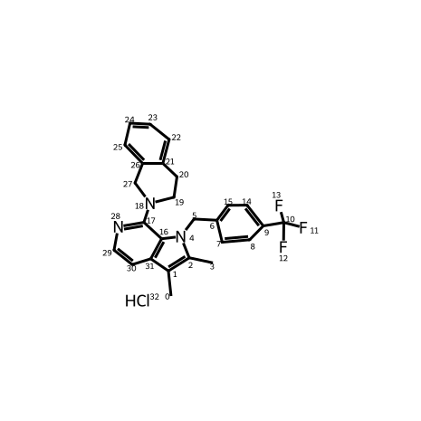 Cc1c(C)n(Cc2ccc(C(F)(F)F)cc2)c2c(N3CCc4ccccc4C3)nccc12.Cl